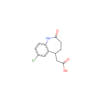 O=C(O)CC1CCC(=O)Nc2ccc(Cl)cc21